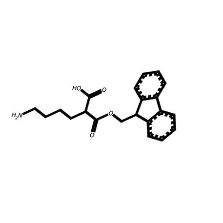 NCCCCC(C(=O)O)C(=O)OCC1c2ccccc2-c2ccccc21